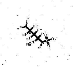 O=S(=O)([O-])C(F)C(F)(F)C(F)(F)C(F)(F)C(F)F.[Na+]